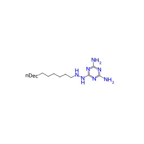 CCCCCCCCCCCCCCCCNNc1nc(N)nc(N)n1